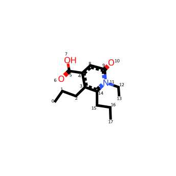 CCCc1c(C(=O)O)cc(=O)n(CC)c1CCC